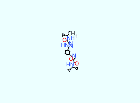 CC(NC(=O)c1nnc(-c2cccc(-c3ncc(C(=O)NC(C4CC4)C4CC4)o3)c2)[nH]1)C1CC1